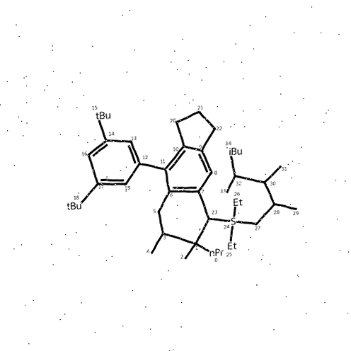 CCCC1(C)C(C)Cc2c(cc3c(c2-c2cc(C(C)(C)C)cc(C(C)(C)C)c2)CCC3)C1S(CC)(CC)CC(C)C(C)C(C)C(C)CC